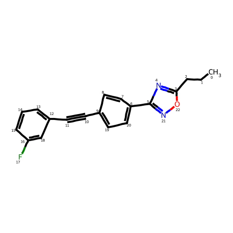 CCCc1nc(-c2ccc(C#Cc3cccc(F)c3)cc2)no1